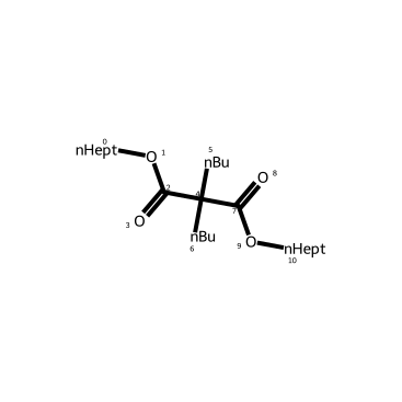 CCCCCCCOC(=O)C(CCCC)(CCCC)C(=O)OCCCCCCC